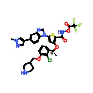 C[C@@H](Oc1cc(-n2cnc3cc(-c4cnn(C)c4)ccc32)sc1C(=O)NOC(=O)C(F)(F)F)c1cccc(OCC2CCNCC2)c1Cl